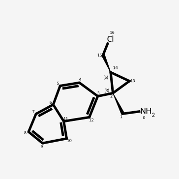 NC[C@]1(c2ccc3ccccc3c2)C[C@@H]1CCl